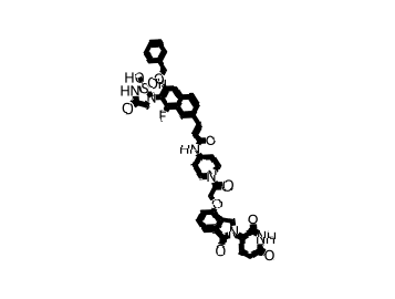 O=C(C=Cc1ccc2cc(OCc3ccccc3)c(N3CC(=O)NS3(O)O)c(F)c2c1)NC1CCN(C(=O)COc2cccc3c2CN(C2CCC(=O)NC2=O)C3=O)CC1